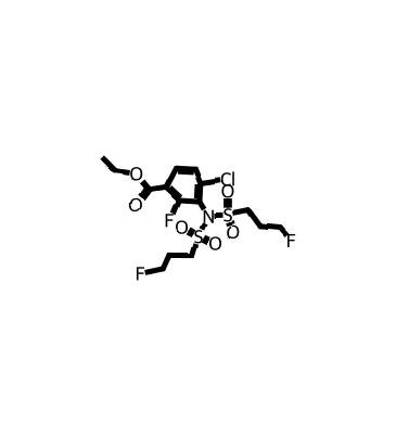 CCOC(=O)c1ccc(Cl)c(N(S(=O)(=O)CCCF)S(=O)(=O)CCCF)c1F